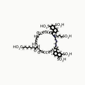 CC1(C)C2=[N+](CCCCCC(=O)NC(C(=O)NCCCCCC(=O)O)CCCCNC(=O)CCCCCC3(C)/C(=C/C=C/C=C/2)N(CCCS(=O)(=O)O)c2ccc4c(S(=O)(=O)O)cc(S(=O)(=O)O)cc4c23)c2ccc3c(S(=O)(=O)O)cc(S(=O)(=O)O)cc3c21